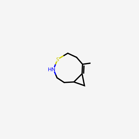 C/C1=C2\CC2CCNSCC1